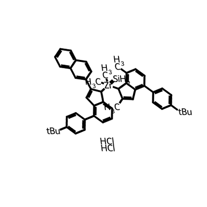 CC1=Cc2c(-c3ccc(C(C)(C)C)cc3)ccc(C)c2[CH]1[Zr]([CH3])([CH3])(=[SiH2])[CH]1C(c2ccc3ccccc3c2)=Cc2c(-c3ccc(C(C)(C)C)cc3)cccc21.Cl.Cl